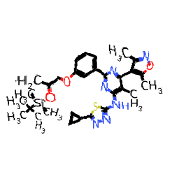 [CH2]C(COc1cccc(-c2nc(Nc3nnc(C4CC4)s3)c(C)c(-c3c(C)noc3C)n2)c1)O[Si](C)(C)C(C)(C)C